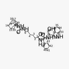 O=C(CCCCCNC(=O)NC12CC3CC(CC(C3)C1)C2)NC(C(=O)NC(CO)c1c[nH]c2ccccc12)c1ccccc1